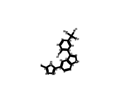 Cc1nnc(-c2ccc3occ(-c4cc(C(F)(F)F)ccc4F)c3c2)o1